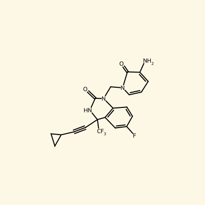 Nc1cccn(CN2C(=O)NC(C#CC3CC3)(C(F)(F)F)c3cc(F)ccc32)c1=O